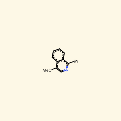 COc1cnc(C(C)C)c2ccccc12